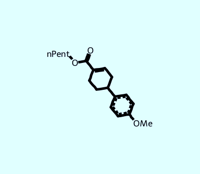 CCCCCOC(=O)C1=CCC(c2ccc(OC)cc2)CC1